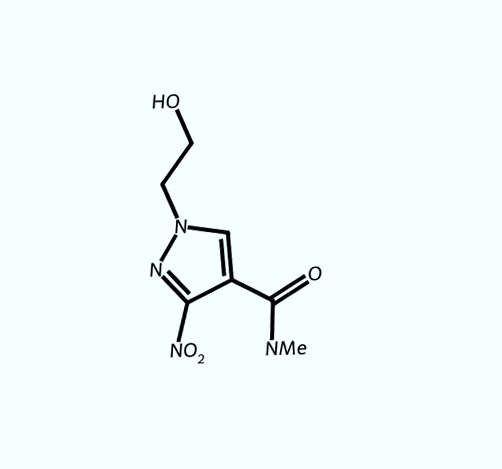 CNC(=O)c1cn(CCO)nc1[N+](=O)[O-]